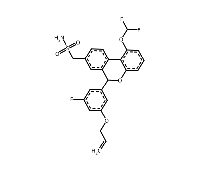 C=CCOc1cc(F)cc(C2Oc3cccc(OC(F)F)c3-c3ccc(CS(N)(=O)=O)cc32)c1